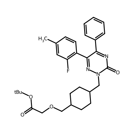 Cc1ccc(-c2nn(CC3CCC(COCC(=O)OC(C)(C)C)CC3)c(=O)nc2-c2ccccc2)c(F)c1